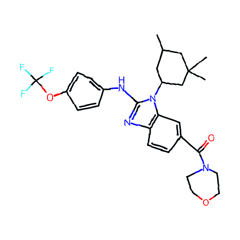 CC1CC(n2c(Nc3ccc(OC(F)(F)F)cc3)nc3ccc(C(=O)N4CCOCC4)cc32)CC(C)(C)C1